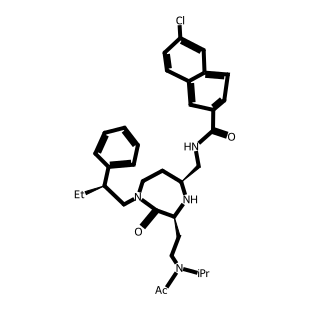 CC[C@H](CN1CC[C@@H](CNC(=O)c2ccc3cc(Cl)ccc3c2)N[C@@H](CCN(C(C)=O)C(C)C)C1=O)c1ccccc1